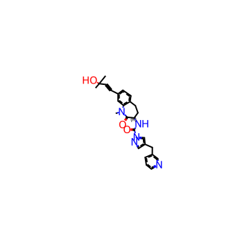 CN1C(=O)[C@H](NC(=O)n2cc(Cc3cccnc3)cn2)CCc2ccc(C#CC(C)(C)O)cc21